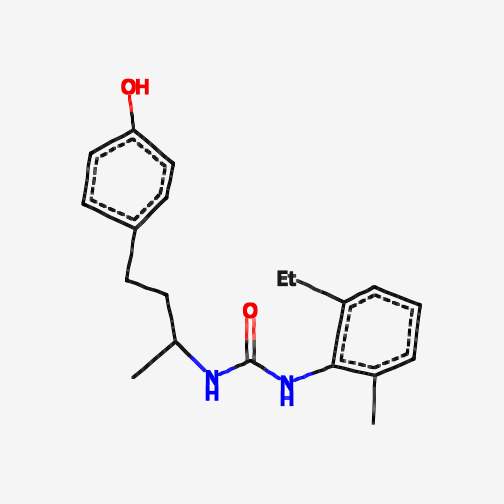 CCc1cccc(C)c1NC(=O)NC(C)CCc1ccc(O)cc1